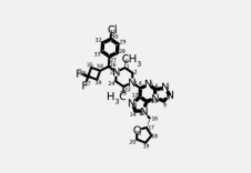 C[C@@H]1CN(c2nc3nncn3c3c2ncn3C[C@@H]2CCCO2)[C@@H](C)CN1C(c1ccc(Cl)cc1)C1CC(F)(F)C1